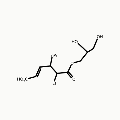 CCCC(C=CC(=O)O)C(CC)C(=O)OCC(O)CO